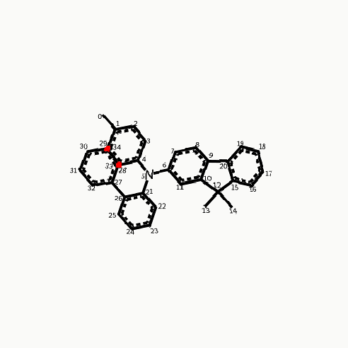 Cc1ccc(N(c2ccc3c(c2)C(C)(C)c2ccccc2-3)c2ccccc2-c2ccccc2)cc1